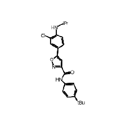 CC(C)Nc1ccc(-c2cc(C(=O)Nc3ccc(C(C)(C)C)cc3)no2)cc1Cl